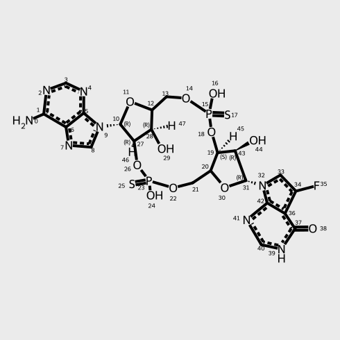 Nc1ncnc2c1ncn2[C@@H]1OC2COP(O)(=S)O[C@@H]3C(COP(O)(=S)O[C@@H]1[C@@H]2O)O[C@@H](n1cc(F)c2c(=O)[nH]cnc21)[C@@H]3O